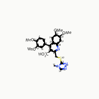 COc1ccc(-c2c(C(=O)O)c(CSc3nncn3C)nc3cc(OC)c(OC)cc23)cc1OC